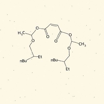 CCCCC(CC)COC(C)OC(=O)/C=C\C(=O)OC(C)OCC(CC)CCCC